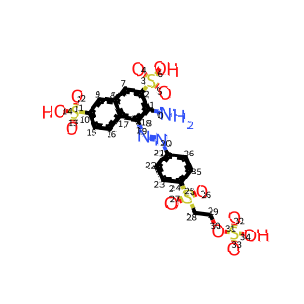 Nc1c(S(=O)(=O)O)cc2cc(S(=O)(=O)O)ccc2c1/N=N/c1ccc(S(=O)(=O)CCOS(=O)(=O)O)cc1